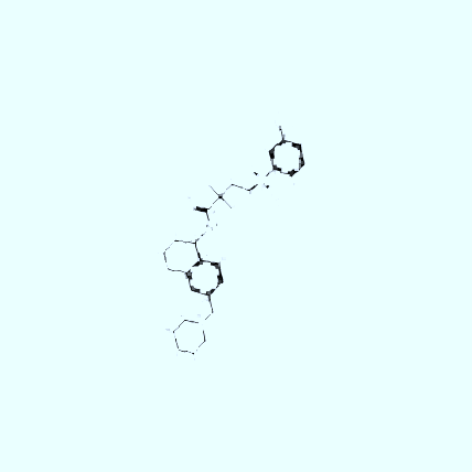 CC(C)(CCS(=O)(=O)c1cccc(C(F)(F)F)c1)C(=O)NC1CCCc2cc(CN3CCCCC3)ccc21